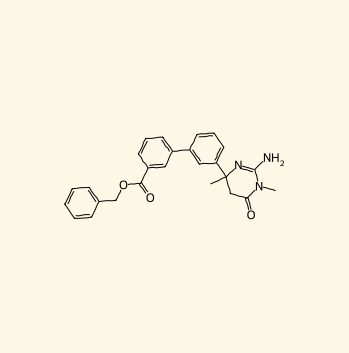 CN1C(=O)CC(C)(c2cccc(-c3cccc(C(=O)OCc4ccccc4)c3)c2)N=C1N